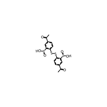 CC(=O)c1ccc(SSc2ccc(C(C)=O)cc2S(=O)O)c(S(=O)O)c1